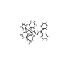 C=CB(c1ccccc1)c1ccccc1.Cc1ccc([SiH2]C(c2ccccc2)(c2ccccc2)n2ccnc2)cc1